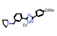 CCn1nc(-c2ccc(OC)cc2)nc1-c1cccc(CN2CCCC2)c1